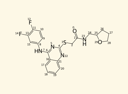 O=C(CSc1nc(Nc2ccc(F)c(F)c2)c2ccccc2n1)NCC1CCCO1